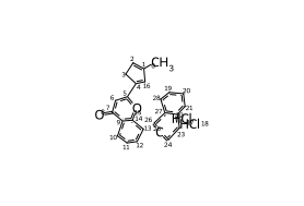 CC1=CCC(c2cc(=O)c3ccccc3o2)=C1.Cl.Cl.c1ccc2ccccc2c1